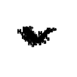 CCO.CC[O-].CC[O-].CC[O-].CC[O-].CC[O-].CC[O-].CC[O-].CC[O-].CC[O-].CC[O-].[Nb+5].[Ta+5]